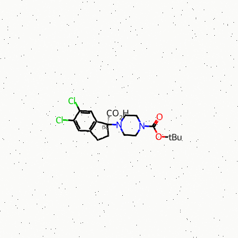 CC(C)(C)OC(=O)N1CCN([C@@]2(C(=O)O)CCc3cc(Cl)c(Cl)cc32)CC1